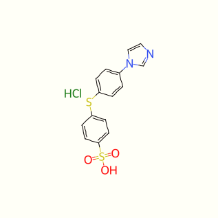 Cl.O=S(=O)(O)c1ccc(Sc2ccc(-n3ccnc3)cc2)cc1